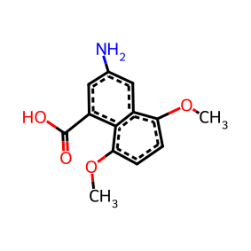 COc1ccc(OC)c2c(C(=O)O)cc(N)cc12